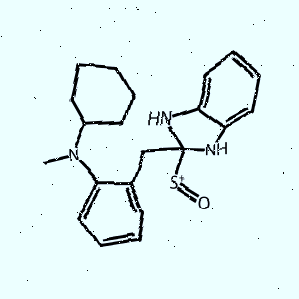 CN(c1ccccc1CC1([S+]=O)Nc2ccccc2N1)C1CCCCC1